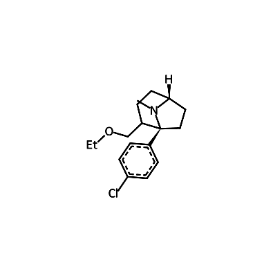 CCOCC1CC[C@@H]2CC[C@@]1(c1ccc(Cl)cc1)N2C